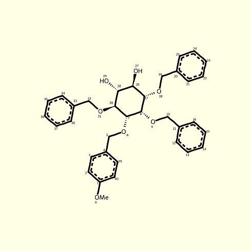 COc1ccc(CO[C@H]2[C@@H](OCc3ccccc3)[C@@H](OCc3ccccc3)[C@H](O)[C@@H](O)[C@@H]2OCc2ccccc2)cc1